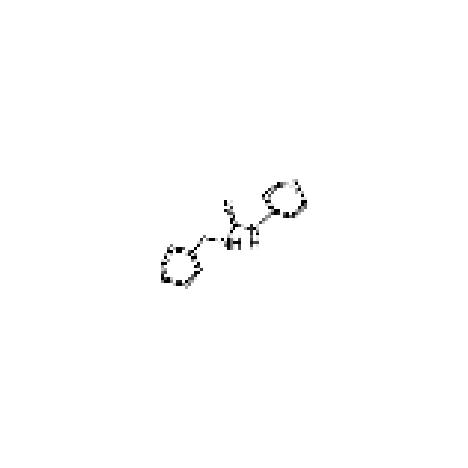 S=C(NCc1ccccc1)Nc1ccccc1